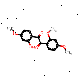 COc1ccc(C(=O)C(=O)c2ccc(OC)cc2OC)c(O)c1